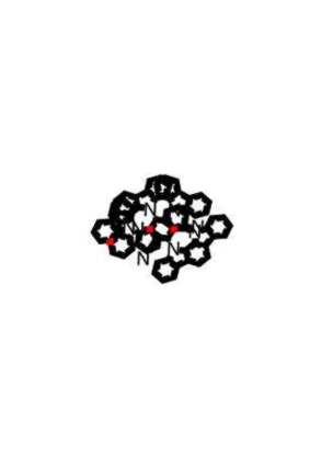 N#Cc1c(-n2c3ccccc3c3ccccc32)c(-n2c3ccccc3c3ccc4c5ccccc5n(-c5ccccc5)c4c32)c(-n2c3ccccc3c3ccccc32)c(C#N)c1-n1c2ccccc2c2ccc3c4ccccc4n(-c4ccccc4)c3c21